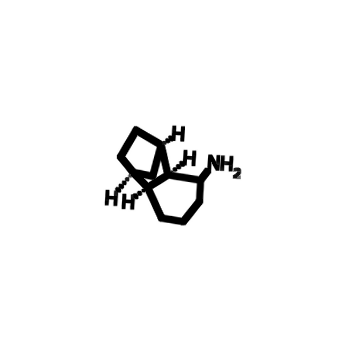 NC1CCC[C@H]2[C@H]3CC[C@H](C3)[C@@H]12